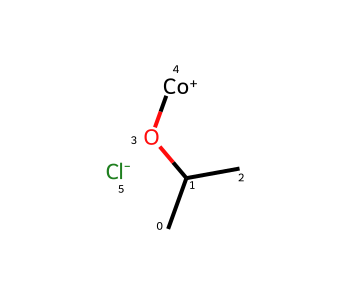 CC(C)[O][Co+].[Cl-]